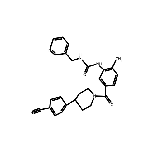 Cc1ccc(C(=O)N2CCC(c3ccc(C#N)cc3)CC2)cc1NC(=O)NCc1cccnc1